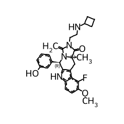 C=C1N(CCNC2CCC2)C(=O)[C@]2(C)Cc3c([nH]c4ccc(OC)c(F)c34)[C@@H](c3cccc(O)c3)N12